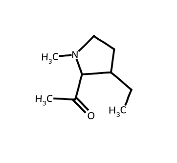 CCC1CCN(C)C1C(C)=O